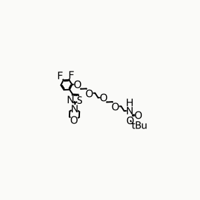 CC(C)(C)OC(=O)NCCOCCOCCOCCOc1c(-c2csc(N3CCOCC3)n2)ccc(F)c1F